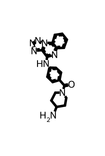 NC1CCN(C(=O)c2ccc(Nc3nc4ccccc4n4nnnc34)cc2)CC1